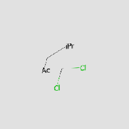 CC(=O)CC(C)C.ClCCl